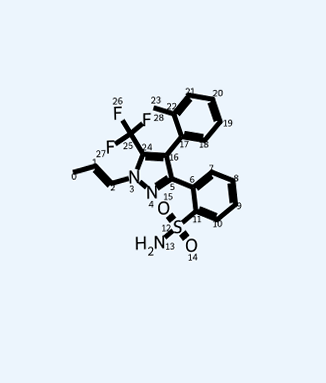 CC=Cn1nc(-c2ccccc2S(N)(=O)=O)c(-c2ccccc2C)c1C(F)(F)F